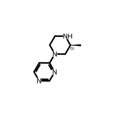 C[C@H]1CN(c2ccncn2)CCN1